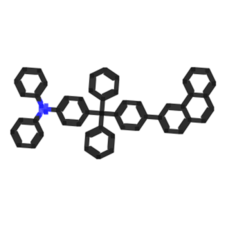 c1ccc(N(c2ccccc2)c2ccc(C(c3ccccc3)(c3ccccc3)c3ccc(-c4ccc5ccc6ccccc6c5c4)cc3)cc2)cc1